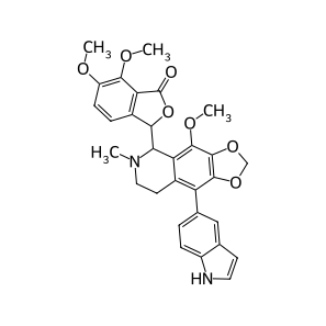 COc1ccc2c(c1OC)C(=O)OC2C1c2c(c(-c3ccc4[nH]ccc4c3)c3c(c2OC)OCO3)CCN1C